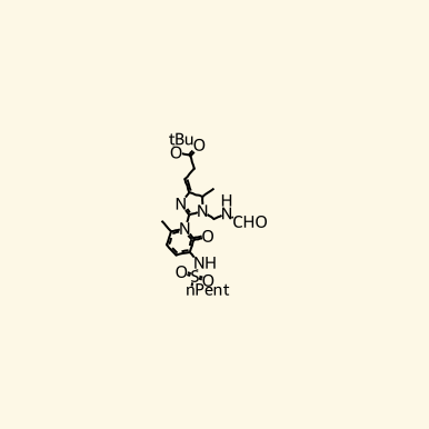 CCCCCS(=O)(=O)Nc1ccc(C)n(C2=NC(=CCC(=O)OC(C)(C)C)C(C)N2CNC=O)c1=O